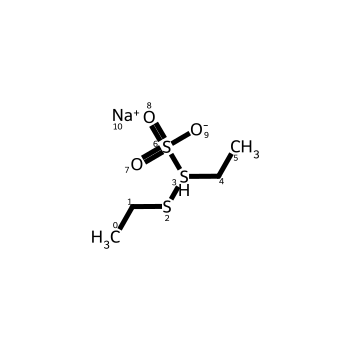 CCS[SH](CC)S(=O)(=O)[O-].[Na+]